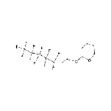 FC(F)(F)C(F)(F)C(F)(F)C(F)(F)C(F)(F)CCOC1CCCCO1